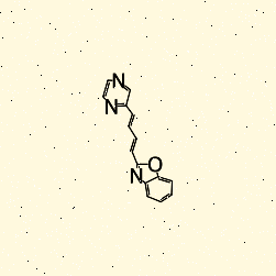 C(/C=C/c1nc2ccccc2o1)=C\c1cnccn1